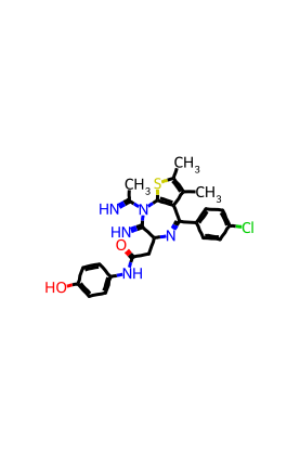 CC(=N)N1C(=N)C(CC(=O)Nc2ccc(O)cc2)N=C(c2ccc(Cl)cc2)c2c1sc(C)c2C